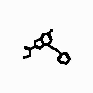 C=C(CBr)c1cc2c(OCc3ccccc3)cc(Cl)cc2o1